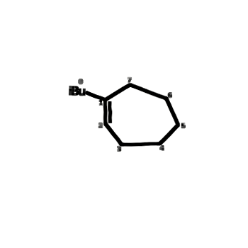 CCC(C)C1=CCCCCC1